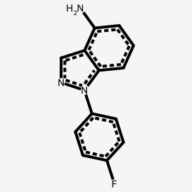 Nc1cccc2c1cnn2-c1ccc(F)cc1